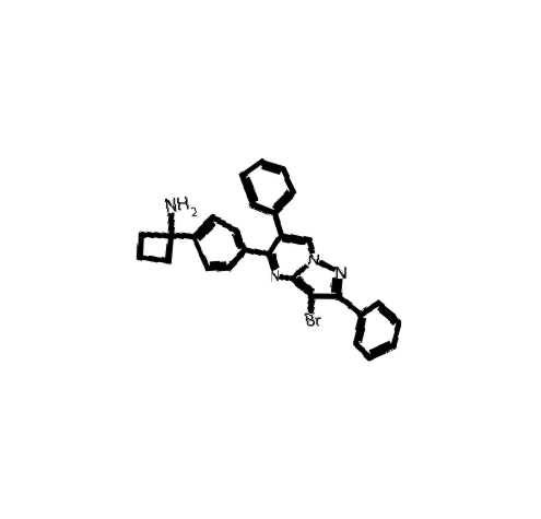 NC1(c2ccc(-c3nc4c(Br)c(-c5ccccc5)nn4cc3-c3ccccc3)cc2)CCC1